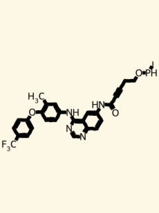 Cc1cc(Nc2ncnc3ccc(NC(=O)C#CCCOPI)cc23)ccc1Oc1ccc(C(F)(F)F)cc1